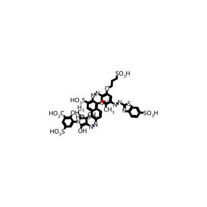 Cc1cc(/N=N\c2c(S(=O)(=O)O)cc3c(S(=O)(=O)O)c(/N=N\C4=C(O)N(c5cc(S(=O)(=O)O)cc(C(=O)O)c5O)N(C)C4C)ccc3c2O)c(OCCCS(=O)(=O)O)cc1N=Nc1nc2ccc(S(=O)(=O)O)cc2s1